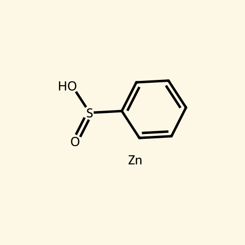 O=S(O)c1ccccc1.[Zn]